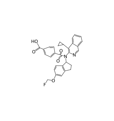 O=C(O)c1ccc(S(=O)(=O)N(c2ncc3ccccc3c2C2CC2)C2CCc3cc(OCF)ccc32)cc1